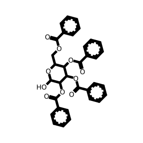 O=C(OCC1OC(O)C(OC(=O)c2ccccc2)C(OC(=O)c2ccccc2)C1OC(=O)c1ccccc1)c1ccccc1